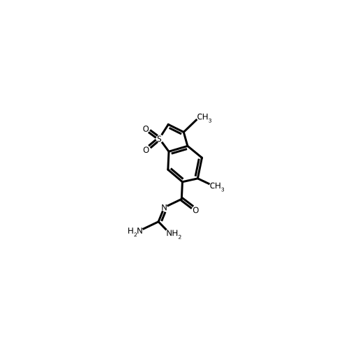 CC1=CS(=O)(=O)c2cc(C(=O)N=C(N)N)c(C)cc21